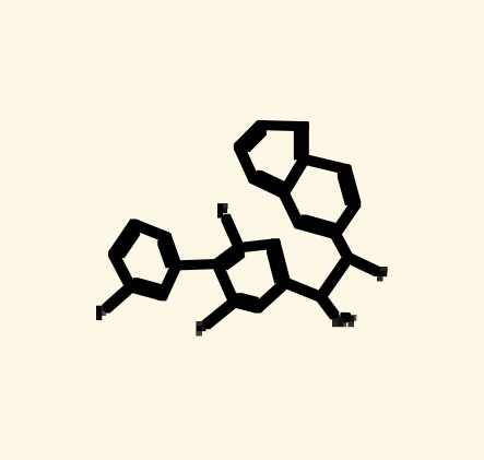 CCCC(c1cc(F)c(-c2cccc(F)c2)c(F)c1)C(F)c1ccc2ccccc2c1